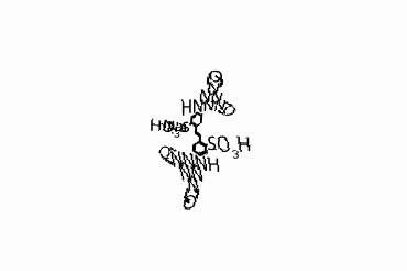 O=S(=O)(O)c1cc(Nc2nc(N3CCOCC3)nc(N3CCOCC3)n2)ccc1C=Cc1ccc(Nc2nc(N3CCOCC3)nc(N3CCOCC3)n2)cc1S(=O)(=O)O.[Na].[Na]